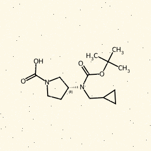 CC(C)(C)OC(=O)N(CC1CC1)[C@@H]1CCN(C(=O)O)C1